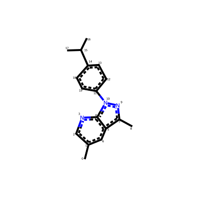 Cc1cnc2c(c1)c(C)nn2-c1ccc(C(C)C)cc1